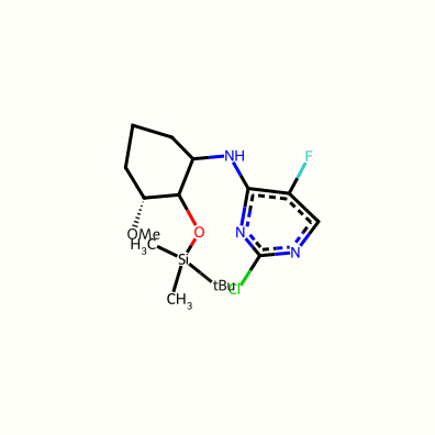 CO[C@@H]1CCCC(Nc2nc(Cl)ncc2F)C1O[Si](C)(C)C(C)(C)C